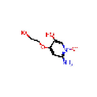 Nc1cc(OCCO)c(O)c[n+]1[O-]